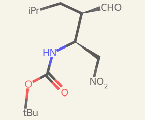 CC(C)C[C@@H](C=O)[C@@H](C[N+](=O)[O-])NC(=O)OC(C)(C)C